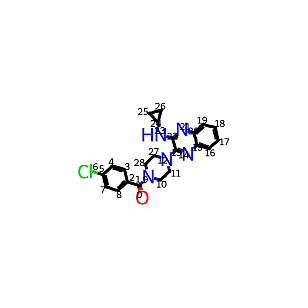 O=C(c1ccc(Cl)cc1)N1CCN(c2nc3ccccc3nc2NC2CC2)CC1